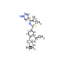 C=C(/N=C(\SC)c1ccc2c(c1)C(=C)CC(CC)(CC)C2)c1cn[nH]c1